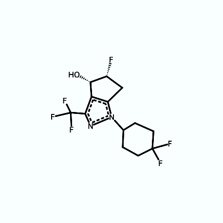 O[C@H]1c2c(C(F)(F)F)nn(C3CCC(F)(F)CC3)c2C[C@H]1F